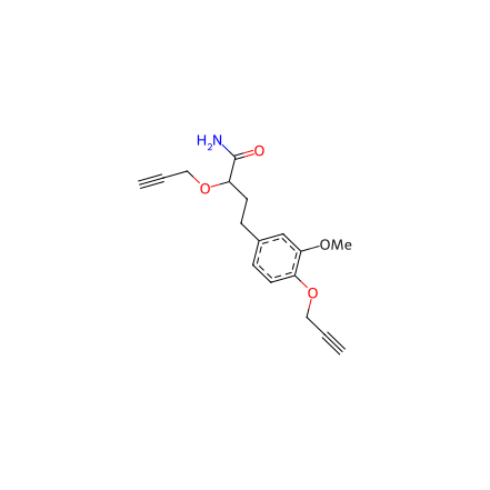 C#CCOc1ccc(CCC(OCC#C)C(N)=O)cc1OC